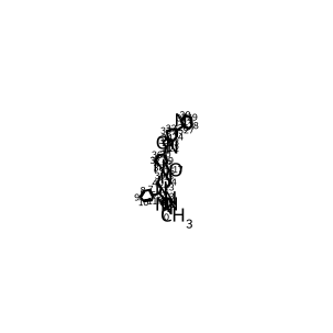 Cn1nnc(C(c2ccccc2)N2CCN(C(=O)c3cc(-c4nc5cc(-c6ccccn6)ccc5o4)ccn3)CC2)n1